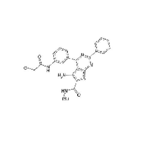 CC(C)(C)NC(=O)c1sc2nc(-c3ccccc3)nc(-c3cccc(NC(=O)CCl)c3)c2c1N